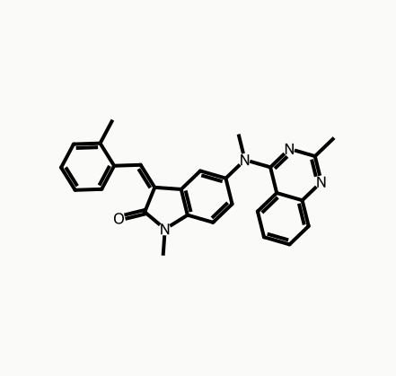 Cc1nc(N(C)c2ccc3c(c2)/C(=C/c2ccccc2C)C(=O)N3C)c2ccccc2n1